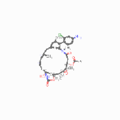 COc1cc2cc(c1-c1ccc(N)cc1Cl)N(C)C(=O)C[C@H](OC(=O)C(C)C)[C@]1(C)O[C@H]1[C@H](C)[C@@H]1C[C@](O)(C/C=C/C=C(\C)C2)NC(=O)O1